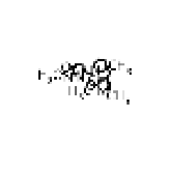 COc1cc(C[C@@]2(C)CCCN([C@@H](C)c3ccc4oc(C)nc4n3)C2)cc(C)n1